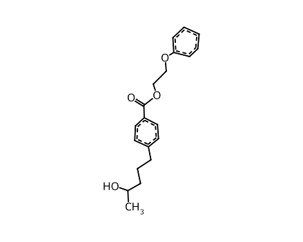 CC(O)CCCc1ccc(C(=O)OCCOc2ccccc2)cc1